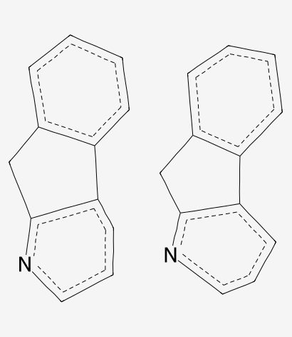 c1ccc2c(c1)Cc1ncccc1-2.c1ccc2c(c1)Cc1ncccc1-2